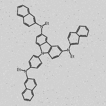 CCN(c1ccc(-n2c3ccc(N(CC)c4ccc5ccccc5c4)cc3c3cc(N(CC)c4ccc5ccccc5c4)ccc32)cc1)c1ccc2ccccc2c1